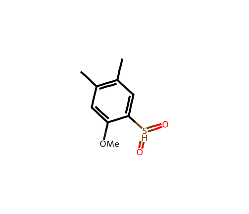 COc1cc(C)c(C)cc1[SH](=O)=O